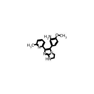 COc1ccc(-c2c(-c3cccc(C)n3)nc3n2CCN3)cc1N